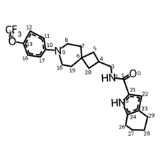 O=C(NCC1CC2(CCN(c3ccc(OC(F)(F)F)cc3)CC2)C1)c1cc2c([nH]1)CCCC2